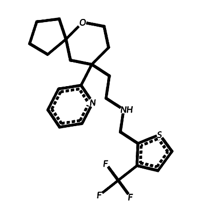 FC(F)(F)c1ccsc1CNCCC1(c2ccccn2)CCOC2(CCCC2)C1